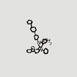 C=C/C=c1\c(=C/N(c2ccccc2)c2ccc(-c3ccc(-c4ccccc4)cc3)cc2)c2c3oc4ccccc4c3ccc2n1-c1ccccc1